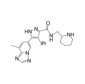 Cc1cc(-c2[nH]nc(C(=O)NCC3CCCCN3)c2C(C)C)cn2ncnc12